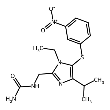 CCn1c(CNC(N)=O)nc(C(C)C)c1Sc1cccc([N+](=O)[O-])c1